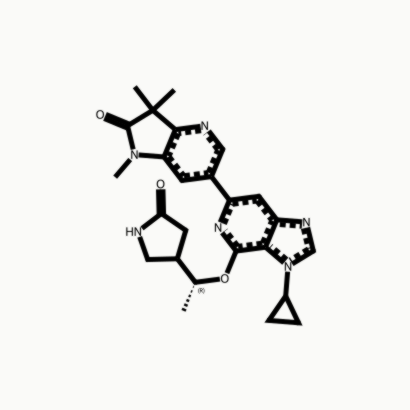 C[C@@H](Oc1nc(-c2cnc3c(c2)N(C)C(=O)C3(C)C)cc2ncn(C3CC3)c12)C1CNC(=O)C1